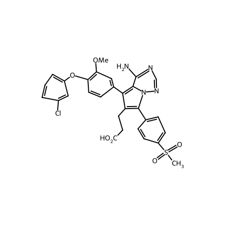 COc1cc(-c2c(CCC(=O)O)c(-c3ccc(S(C)(=O)=O)cc3)n3ncnc(N)c23)ccc1Oc1cccc(Cl)c1